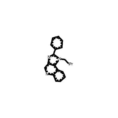 CC(C)Cn1c(-c2ccccc2)nc2cnc3ccccc3c21